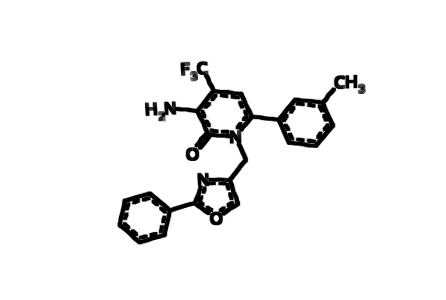 Cc1cccc(-c2cc(C(F)(F)F)c(N)c(=O)n2Cc2coc(-c3ccccc3)n2)c1